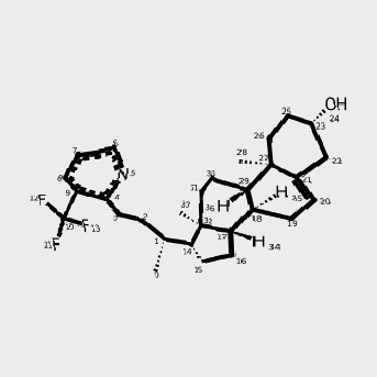 C[C@H](CCc1ncccc1C(F)(F)F)[C@H]1CC[C@H]2[C@@H]3CC=C4C[C@@H](O)CC[C@]4(C)[C@H]3CC[C@]12C